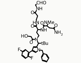 CNC(CC(N)=O)C(=O)NC(CCN(C(=O)CO)C(c1cc(-c2cc(F)ccc2F)cn1Cc1ccccc1)C(C)(C)C)C(=O)NCCC(=O)NCC=O